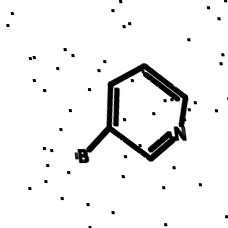 [B]c1cccnc1